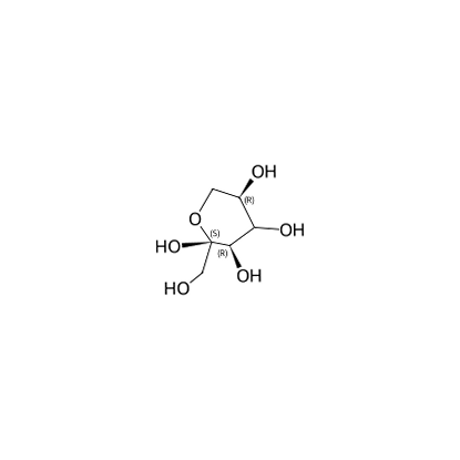 OC[C@]1(O)OC[C@@H](O)C(O)[C@H]1O